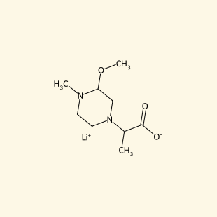 COC1CN(C(C)C(=O)[O-])CCN1C.[Li+]